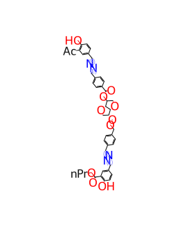 CCCOC(=O)c1cc(/C=N/N=C/c2ccc(COOC3COC4C(OC(=O)c5ccc(/C=N/N=C/c6ccc(O)c(C(C)=O)c6)cc5)COC34)cc2)ccc1O